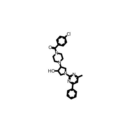 Cc1cc(-c2ccccc2)nc(N2CC(O)C(N3CCN(C(=O)c4ccc(Cl)cc4)CC3)C2)n1